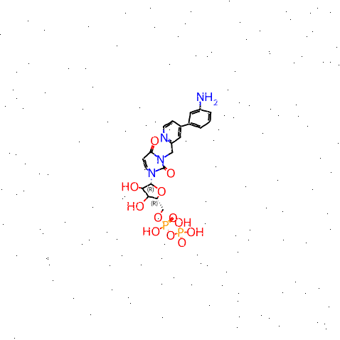 Nc1cccc(-c2ccnc(Cn3c(=O)ccn([C@@H]4O[C@H](COP(=O)(O)OP(=O)(O)O)C(O)C4O)c3=O)c2)c1